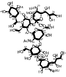 CC(=O)N[C@H]1[C@H](O[C@@H]2[C@H](O[C@]3(C(=O)O)C[C@H](O)[C@@H](NC(C)=O)[C@H]([C@H](O)[C@H](O)CO)O3)[C@@H](O)[C@H](O[C@H]3[C@H](O)[C@@H](O)[C@H](O)O[C@@H]3CO)O[C@@H]2CO)O[C@H](CO)[C@H](O)[C@@H]1O[C@@H]1O[C@H](CO)[C@H](O)[C@H](O[C@]2(C(=O)O)C[C@H](O)[C@@H](NC(C)=O)[C@H]([C@H](O)[C@H](O)CO)O2)[C@H]1O